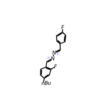 CCCCc1ccc(/C=N/N=C/c2ccc(F)cc2)c(F)c1